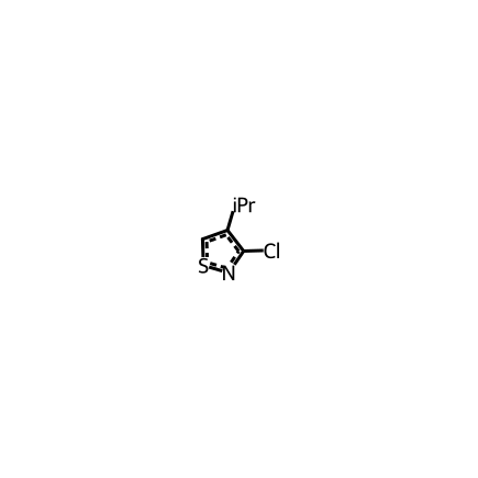 CC(C)c1csnc1Cl